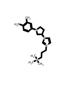 Cc1cc(N2CCC(n3cc[n+](CCC[Si](C)(C)C)c3)C2)ccc1N